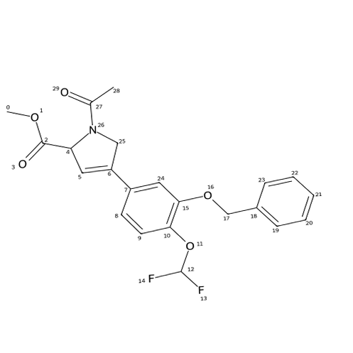 COC(=O)C1C=C(c2ccc(OC(F)F)c(OCc3ccccc3)c2)CN1C(C)=O